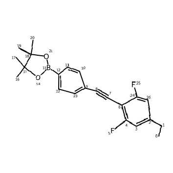 CCc1cc(F)c(C#Cc2ccc(B3OC(C)(C)C(C)(C)O3)cc2)c(F)c1